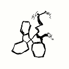 C=C1C2=C(C=CCC2)C2(/C1=C/C=C(\C)N)c1ccccc1-c1ccccc12